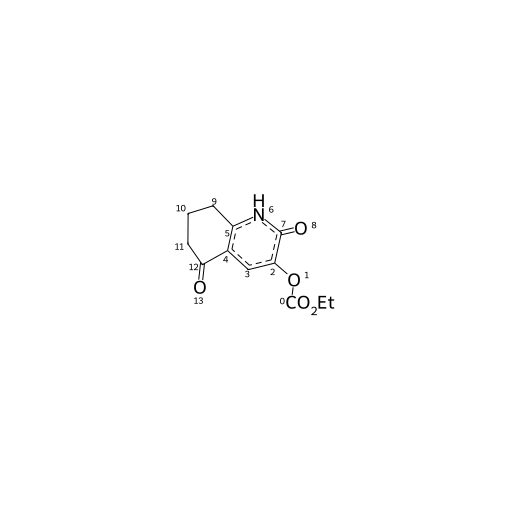 CCOC(=O)Oc1cc2c([nH]c1=O)CCCC2=O